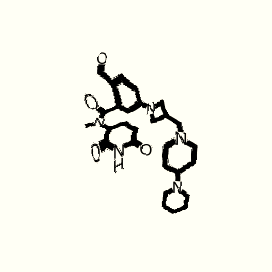 CN(C(=O)c1cc(N2CC(CN3CCC(N4CCCCC4)CC3)C2)ccc1C=O)C1CCC(=O)NC1=O